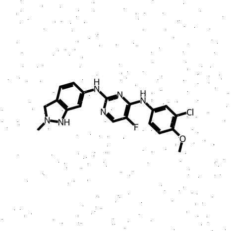 COc1ccc(Nc2nc(Nc3ccc4c(c3)NN(C)C4)ncc2F)cc1Cl